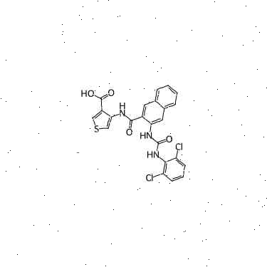 O=C(Nc1cc2ccccc2cc1C(=O)Nc1cscc1C(=O)O)Nc1c(Cl)cccc1Cl